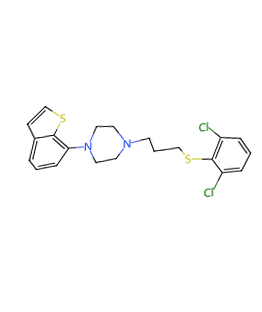 Clc1cccc(Cl)c1SCCCN1CCN(c2cccc3ccsc23)CC1